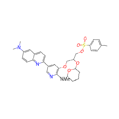 CNc1ncc(-c2ccc3cc(N(C)C)ccc3n2)cc1OCC(COS(=O)(=O)c1ccc(C)cc1)OC1CCCCO1